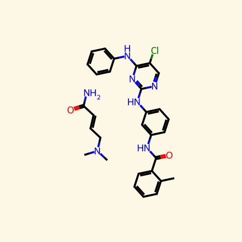 CN(C)C/C=C/C(N)=O.Cc1ccccc1C(=O)Nc1cccc(Nc2ncc(Cl)c(Nc3ccccc3)n2)c1